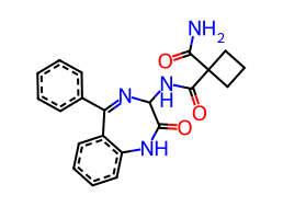 NC(=O)C1(C(=O)NC2N=C(c3ccccc3)c3ccccc3NC2=O)CCC1